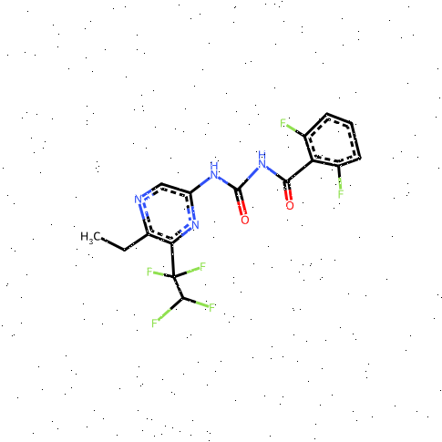 CCc1ncc(NC(=O)NC(=O)c2c(F)cccc2F)nc1C(F)(F)C(F)F